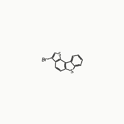 Brc1csc2c1ccc1sc3ccccc3c12